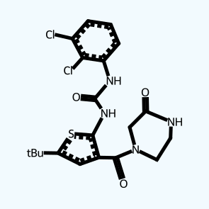 CC(C)(C)c1cc(C(=O)N2CCNC(=O)C2)c(NC(=O)Nc2cccc(Cl)c2Cl)s1